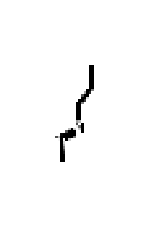 C/[C]=N/CCC